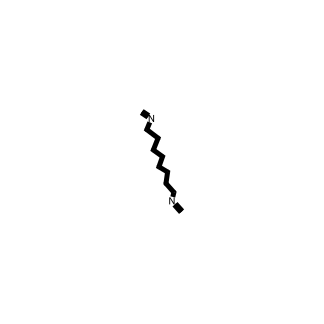 C=NCCCCCCCCN=C